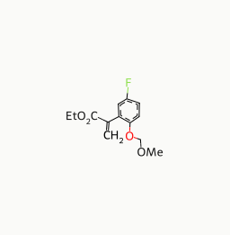 C=C(C(=O)OCC)c1cc(F)ccc1OCOC